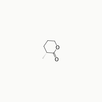 C[C@@H]1CCCOC1=O